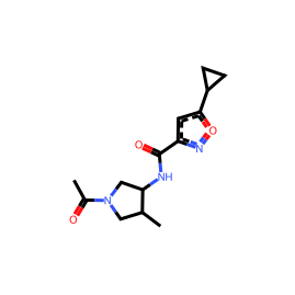 CC(=O)N1CC(C)C(NC(=O)c2cc(C3CC3)on2)C1